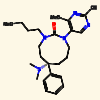 COCCCN1CC[C@@](c2ccccc2)(N(C)C)CCCN(c2cnc(C#N)nc2OC)C1=O